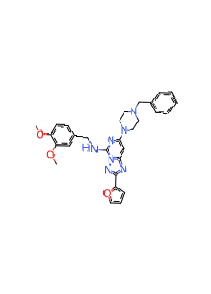 COc1ccc(CNc2nc(N3CCN(Cc4ccccc4)CC3)cc3nc(-c4ccco4)nn23)cc1OC